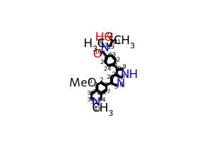 COc1cc(-c2cnc3[nH]cc(-c4ccc(C(=O)N(C)C[C@H](C)O)cc4)c3c2)cc2c1CCN(C)C2